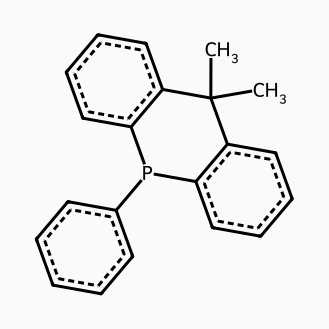 CC1(C)c2ccccc2P(c2ccccc2)c2ccccc21